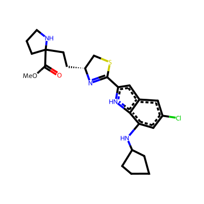 COC(=O)C1(CC[C@@H]2CSC(c3cc4cc(Cl)cc(NC5CCCC5)c4[nH]3)=N2)CCCN1